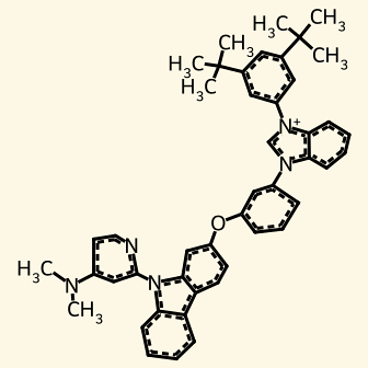 CN(C)c1ccnc(-n2c3ccccc3c3ccc(Oc4cccc(-n5c[n+](-c6cc(C(C)(C)C)cc(C(C)(C)C)c6)c6ccccc65)c4)cc32)c1